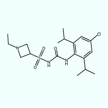 CCN1CC(S(=O)(=O)NC(=O)Nc2c(C(C)C)cc(Cl)cc2C(C)C)C1